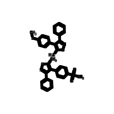 CSc1ccc(-c2c(-c3ccccc3)noc2C)cc1.Cc1onc(-c2ccccc2)c1-c1ccc(S(C)(=O)=O)cc1